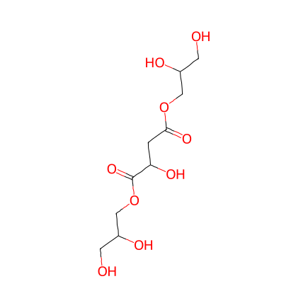 O=C(CC(O)C(=O)OCC(O)CO)OCC(O)CO